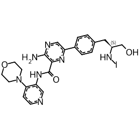 Nc1ncc(-c2ccc(C[C@@H](CO)NI)cc2)nc1C(=O)Nc1cnccc1N1CCOCC1